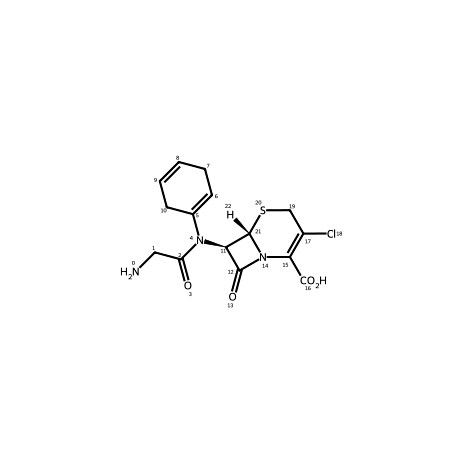 NCC(=O)N(C1=CCC=CC1)[C@@H]1C(=O)N2C(C(=O)O)=C(Cl)CS[C@@H]12